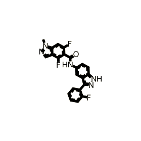 Cn1ncc2c(F)c(C(=O)Nc3ccc4[nH]nc(-c5ccccc5F)c4c3)c(F)cc21